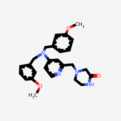 COc1cccc(CN(Cc2cccc(OC)c2)c2ccnc(CN3CCNC(=O)C3)c2)c1